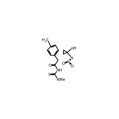 CCCC1(N=S(=O)=O)CC1.CNC(=S)NC(=O)Cc1ccc(C)cc1